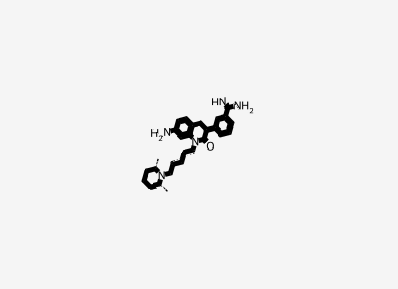 C[C@@H]1CCC[C@H](C)N1CCCCCN1C(=O)C(c2cccc(C(=N)N)c2)Cc2ccc(N)cc21